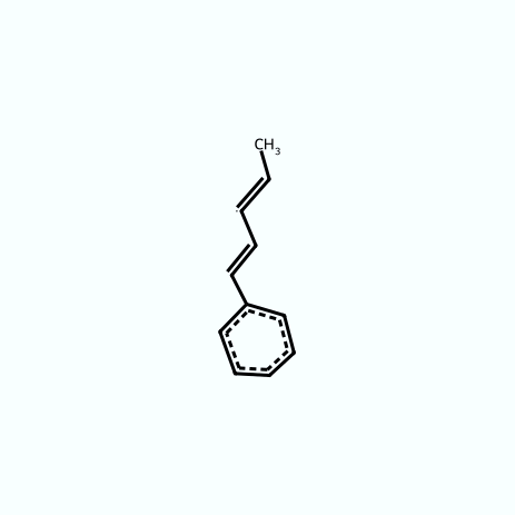 CC=[C]/C=C/c1ccccc1